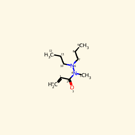 C=CC(=O)N(C)N(CCC)CCC